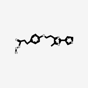 CCOOC(=O)CCc1ccc(OCCc2nc(-c3ccsc3)oc2C)cc1